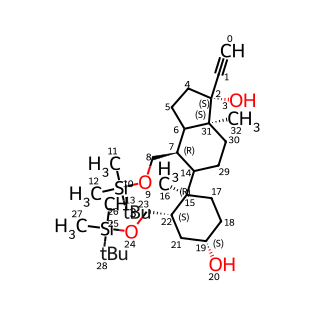 C#C[C@]1(O)CCC2[C@H](CO[Si](C)(C)C(C)(C)C)C([C@@]3(C)CC[C@H](O)C[C@@H]3CO[Si](C)(C)C(C)(C)C)CC[C@@]21C